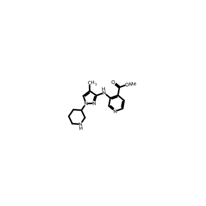 COC(=O)c1ccncc1Nc1nn(C2CCCNC2)cc1C